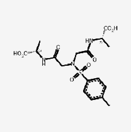 Cc1ccc(S(=O)(=O)N(CC(=O)N[C@@H](C)C(=O)O)CC(=O)N[C@@H](C)C(=O)O)cc1